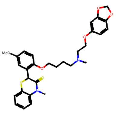 COc1ccc(OCCCCN(C)CCOc2ccc3c(c2)OCO3)c(C2Sc3ccccc3N(C)C2=S)c1